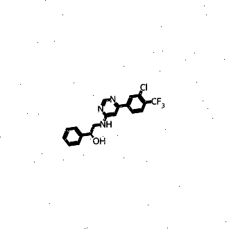 O[C@H](CNc1cc(-c2ccc(C(F)(F)F)c(Cl)c2)ncn1)c1ccccc1